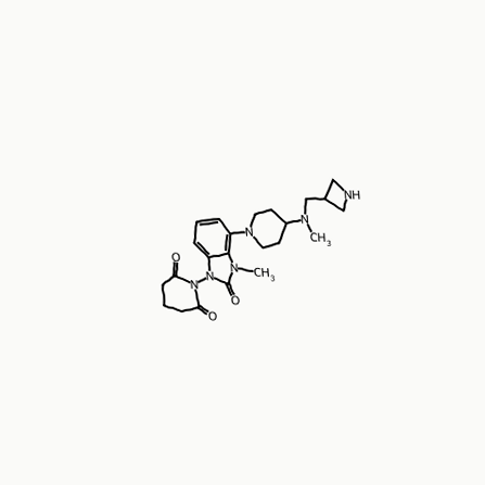 CN(CC1CNC1)C1CCN(c2cccc3c2n(C)c(=O)n3N2C(=O)CCCC2=O)CC1